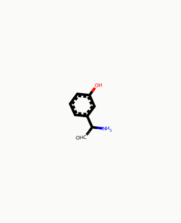 NC([C]=O)c1cccc(O)c1